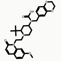 COc1ccc2ccc(=O)n(CCN3CCC(N(Cc4ccc5c(c4)OCCO5)C(=O)O)CC3C(C)(C)C)c2c1